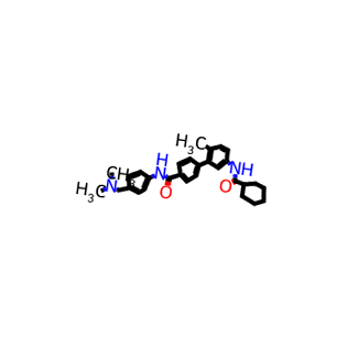 Cc1ccc(NC(=O)C2CCCCC2)cc1-c1ccc(C(=O)Nc2ccc(CN(C)C)cc2)cc1